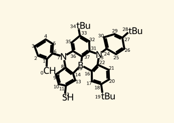 Cc1ccccc1N1c2ccc(S)cc2B2c3cc(C(C)(C)C)ccc3N(c3ccc(C(C)(C)C)cc3)c3cc(C(C)(C)C)cc1c32